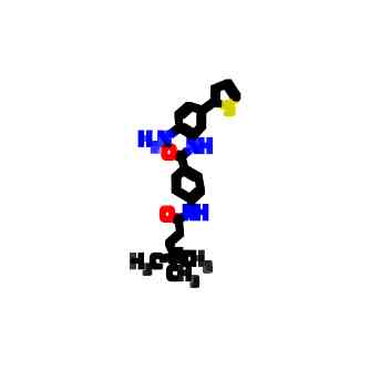 C[Si](C)(C)CCC(=O)Nc1ccc(C(=O)Nc2cc(-c3cccs3)ccc2N)cc1